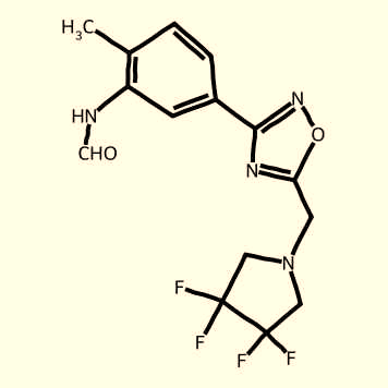 Cc1ccc(-c2noc(CN3CC(F)(F)C(F)(F)C3)n2)cc1NC=O